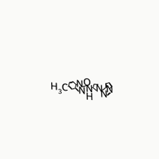 Cc1ccc2nc(C(=O)N[C@H]3CCN(c4nccn5cccc45)C3)ncc2c1